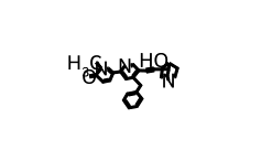 Cn1cc(-c2cc(Cc3ccccc3)c(C#CC3(O)CN4CCC3CC4)cn2)ccc1=O